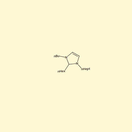 CCCCCCCN1C=CN(CCCC)C1CCCCCC